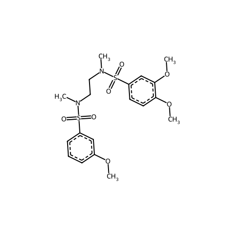 COc1cccc(S(=O)(=O)N(C)CCN(C)S(=O)(=O)c2ccc(OC)c(OC)c2)c1